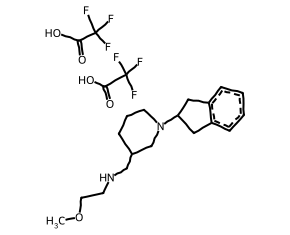 COCCNCC1CCCN(C2Cc3ccccc3C2)C1.O=C(O)C(F)(F)F.O=C(O)C(F)(F)F